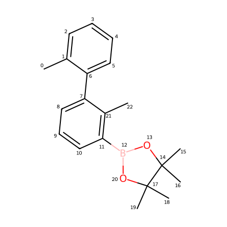 Cc1ccccc1-c1cccc(B2OC(C)(C)C(C)(C)O2)c1C